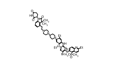 CCOc1cc(N2CCC(N3CCN(CCc4cccc5c4C(C)(C)C(=O)N5C4CCC(=O)NC4=O)CC3)CC2)c(CC)cc1Nc1ncc(Br)c(Nc2ccc3nc(CC)ccc3c2P(C)(C)=O)n1